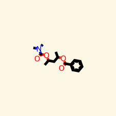 CC(CC(C)OC(=O)N(C)C)OC(=O)c1ccccc1